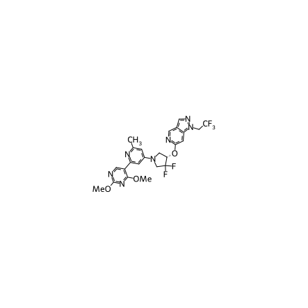 COc1ncc(-c2cc(N3C[C@H](Oc4cc5c(cn4)cnn5CC(F)(F)F)C(F)(F)C3)cc(C)n2)c(OC)n1